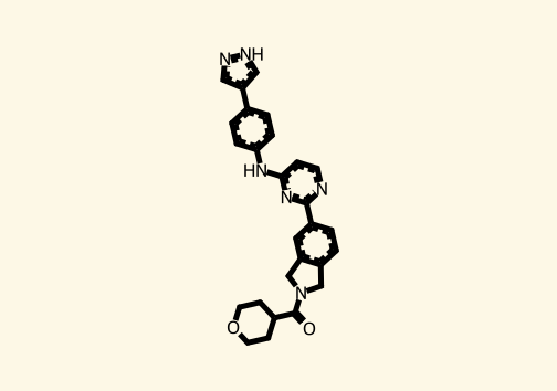 O=C(C1CCOCC1)N1Cc2ccc(-c3nccc(Nc4ccc(-c5cn[nH]c5)cc4)n3)cc2C1